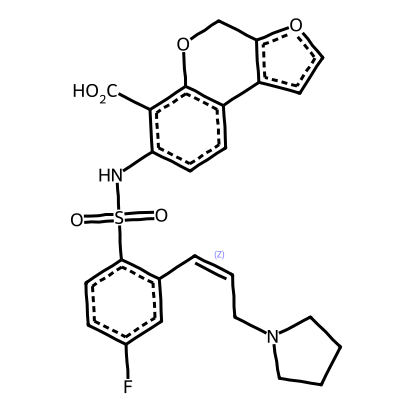 O=C(O)c1c(NS(=O)(=O)c2ccc(F)cc2/C=C\CN2CCCC2)ccc2c1OCc1occc1-2